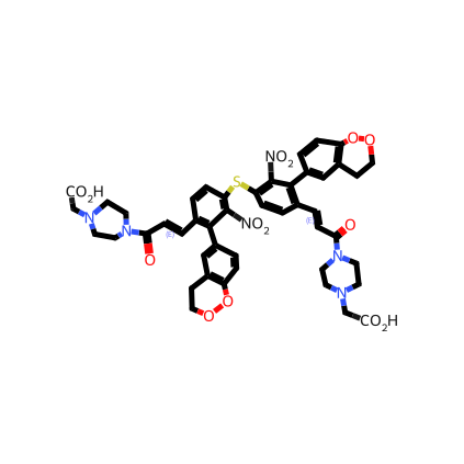 O=C(O)CN1CCN(C(=O)/C=C/c2ccc(Sc3ccc(/C=C/C(=O)N4CCN(CC(=O)O)CC4)c(-c4ccc5c(c4)CCOO5)c3[N+](=O)[O-])c([N+](=O)[O-])c2-c2ccc3c(c2)CCOO3)CC1